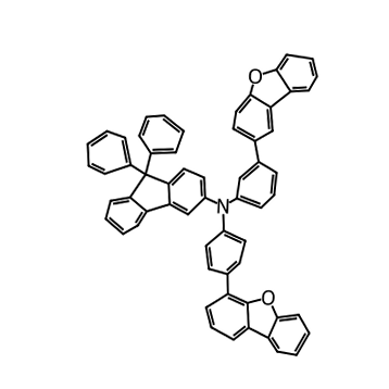 c1ccc(C2(c3ccccc3)c3ccccc3-c3cc(N(c4ccc(-c5cccc6c5oc5ccccc56)cc4)c4cccc(-c5ccc6oc7ccccc7c6c5)c4)ccc32)cc1